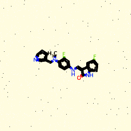 CN(Cc1cccnc1)c1ccc(NC=C2C(=O)Nc3ccc(F)cc32)cc1F